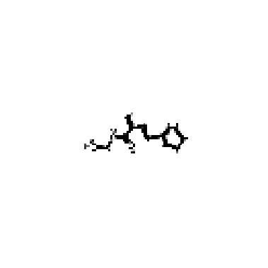 C=C(C=Cc1ccccc1)C(=O)OCO